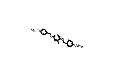 C=C(/C=C(C)\C(=C/C)SCc1ccc(OC)cc1)SCc1ccc(OC)cc1